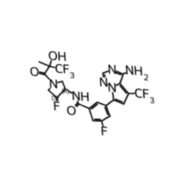 CC(O)(C(=O)N1C[C@H](F)[C@H](NC(=O)c2cc(F)cc(-c3cc(C(F)(F)F)c4c(N)ncnn34)c2)C1)C(F)(F)F